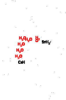 O.O.O.O.O.O.[CsH].[SnH2]